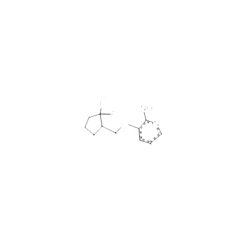 O=[N+]([O-])c1ncccc1OCC1CCCC1(F)F